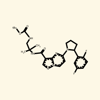 CC(C)(CNC(=O)OC(C)(C)C)NC(=O)c1cnn2ccc(N3CCCC3c3cc(F)ccc3F)nc12